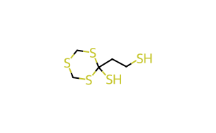 SCCC1(S)SCSCS1